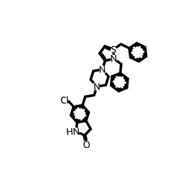 O=C1Cc2cc(CCN3CCN(C4=CC=S(Cc5ccccc5)N4Cc4ccccc4)CC3)c(Cl)cc2N1